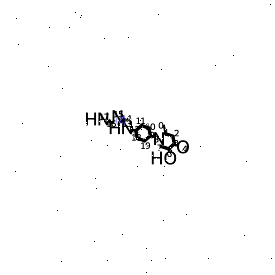 Cc1cc(=O)c(O)cn1-c1ccc(N/C=N\C=N)cc1